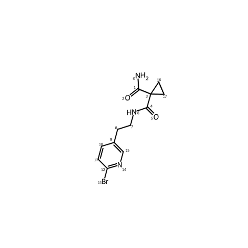 NC(=O)C1(C(=O)NCCc2ccc(Br)nc2)CC1